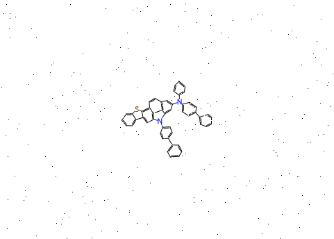 c1ccc(-c2ccc(N(c3ccccc3)c3cc4ccc5c6sc7ccccc7c6cc6c5c4c(c3)n6-c3ccc(-c4ccccc4)cc3)cc2)cc1